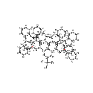 FC(F)(F)c1cc(-c2nc(-c3ccccc3)cc(-c3ccccc3)n2)c(-n2c3cc(-n4c5ccccc5c5ccccc54)ccc3c3ccc(-n4c5ccccc5c5ccccc54)cc32)c(-c2nc(-c3ccccc3)cc(-c3ccccc3)n2)c1